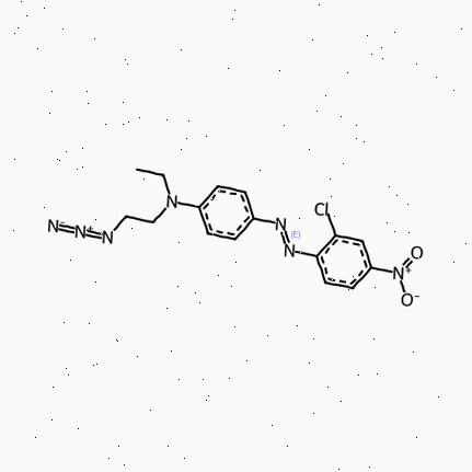 CCN(CCN=[N+]=[N-])c1ccc(/N=N/c2ccc([N+](=O)[O-])cc2Cl)cc1